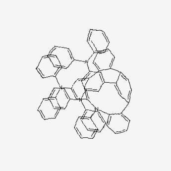 Cc1ccc2c(c1)-c1cc(N(c3ccccc3)c3ccccc3)cc(c1)N(c1ccccc1)c1ccccc1-c1ccc-2c(-c2cc(N(c3ccccc3)c3ccccc3)cc(N(c3ccccc3)c3ccccc3)c2)c1